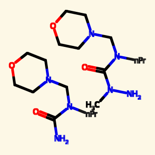 CCCN(CN1CCOCC1)C(=O)N(C)N.CCCN(CN1CCOCC1)C(N)=O